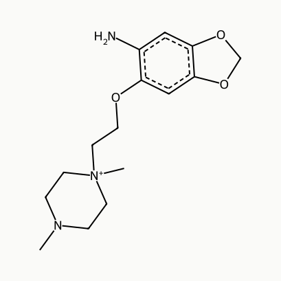 CN1CC[N+](C)(CCOc2cc3c(cc2N)OCO3)CC1